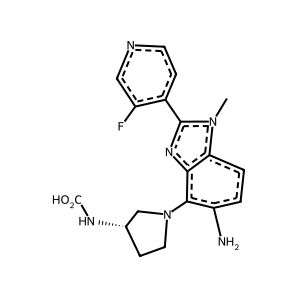 Cn1c(-c2ccncc2F)nc2c(N3CC[C@H](NC(=O)O)C3)c(N)ccc21